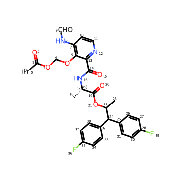 CC(C)C(=O)OCOc1c(NC=O)ccnc1C(=O)N[C@@H](C)C(=O)OC(C)C(c1ccc(F)cc1)c1ccc(F)cc1